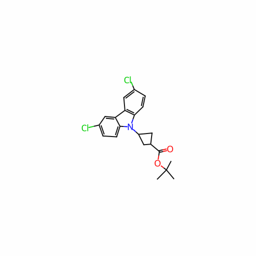 CC(C)(C)OC(=O)C1CC(n2c3ccc(Cl)cc3c3cc(Cl)ccc32)C1